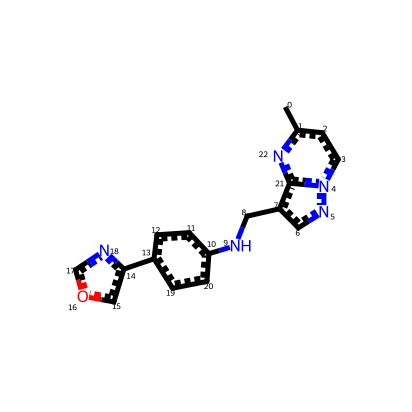 Cc1ccn2ncc(CNc3ccc(-c4cocn4)cc3)c2n1